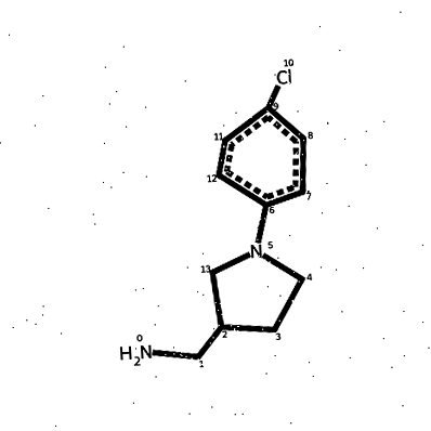 NCC1CCN(c2[c]cc(Cl)cc2)C1